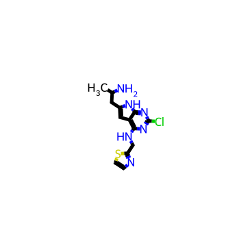 CC(N)Cc1cc2c(NCc3nccs3)nc(Cl)nc2[nH]1